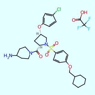 NC1CCN(C(=O)[C@@H]2C[C@H](Oc3ccc(Cl)cc3)CN2S(=O)(=O)c2ccc(OCC3CCCCC3)cc2)CC1.O=C(O)C(F)(F)F